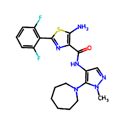 Cn1ncc(NC(=O)c2nc(-c3c(F)cccc3F)sc2N)c1N1CCCCCC1